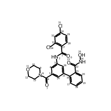 O=C(Nc1cc(C(=O)N2CCOCC2)cc(-c2ccccc2C(=O)NO)c1)c1ccc(Cl)cc1Cl